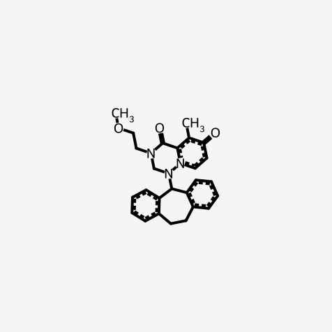 COCCN1CN(C2c3ccccc3CCc3ccccc32)n2ccc(=O)c(C)c2C1=O